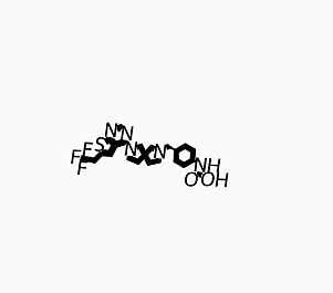 O=C(O)N[C@H]1CC[C@@H](CN2CCC3(CCN(c4ncnc5sc(CC(F)(F)F)cc45)C3)C2)CC1